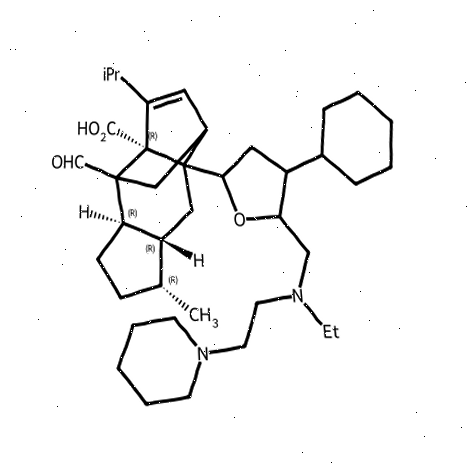 CCN(CCN1CCCCC1)CC1OC(C23C[C@@H]4[C@H](C)CC[C@H]4C4(C=O)CC2C=C(C(C)C)[C@@]34C(=O)O)CC1C1CCCCC1